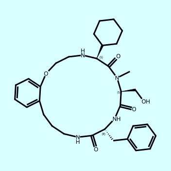 CN1C(=O)[C@H](C2CCCCC2)NCCOc2ccccc2CCCNC(=O)[C@@H](Cc2ccccc2)NC(=O)[C@@H]1CO